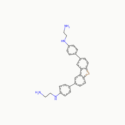 NCCNc1ccc(-c2ccc3sc4ccc(-c5ccc(NCCN)cc5)cc4c3c2)cc1